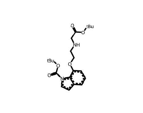 CC(C)(C)OC(=O)CNCCOc1cccc2ccn(C(=O)OC(C)(C)C)c12